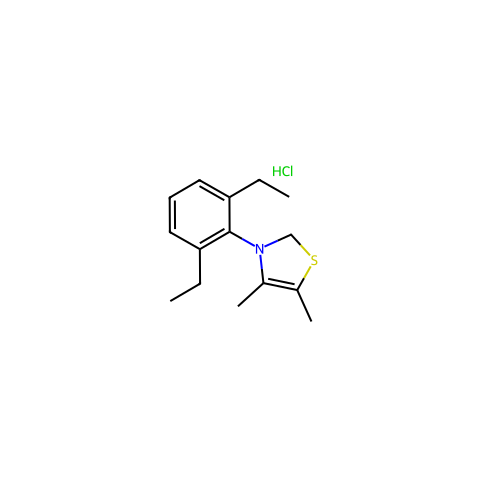 CCc1cccc(CC)c1N1CSC(C)=C1C.Cl